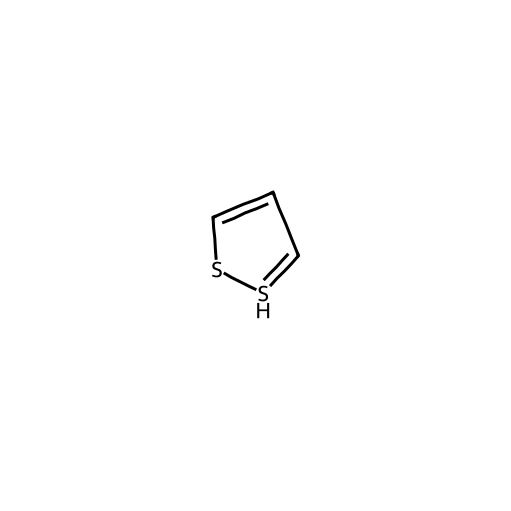 C1=CS[SH]=C1